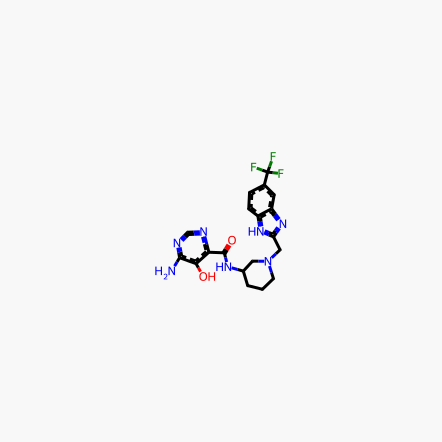 Nc1ncnc(C(=O)NC2CCCN(Cc3nc4cc(C(F)(F)F)ccc4[nH]3)C2)c1O